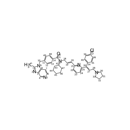 Cc1nc2cnccc2n1Cc1ccc(C(=O)N(C/C=C/c2cccc(/C(=C/CN3CCCC3)c3ccc(Cl)cc3)n2)C2CCCCC2)cc1